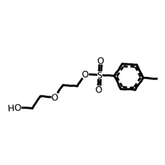 Cc1ccc(S(=O)(=O)OCCOCCO)cc1